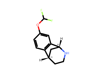 FC(F)Oc1ccc2c(c1)[C@H]1C[C@@H]2CCN1